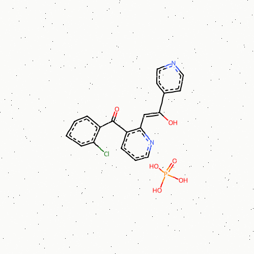 O=C(c1ccccc1Cl)c1cccnc1/C=C(\O)c1ccncc1.O=P(O)(O)O